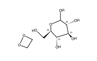 C1COO1.OC[C@H]1OC(O)[C@H](O)[C@@H](O)[C@@H]1O